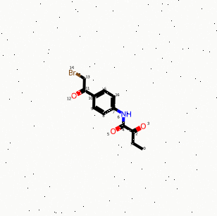 CCC(=O)C(=O)Nc1ccc(C(=O)CBr)cc1